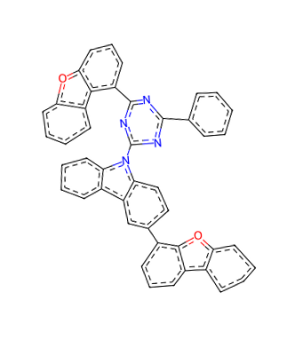 c1ccc(-c2nc(-c3cccc4oc5ccccc5c34)nc(-n3c4ccccc4c4cc(-c5cccc6c5oc5ccccc56)ccc43)n2)cc1